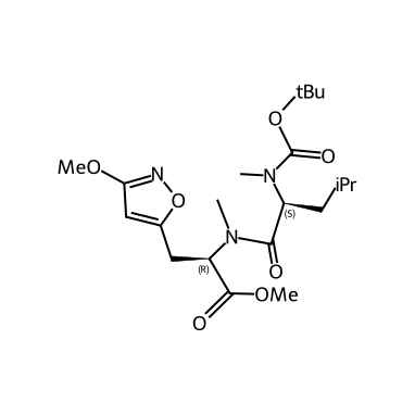 COC(=O)[C@@H](Cc1cc(OC)no1)N(C)C(=O)[C@H](CC(C)C)N(C)C(=O)OC(C)(C)C